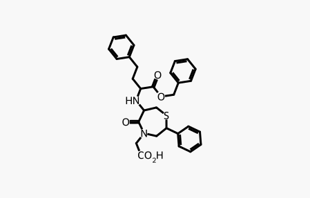 O=C(O)CN1CC(c2ccccc2)SCC(NC(CCc2ccccc2)C(=O)OCc2ccccc2)C1=O